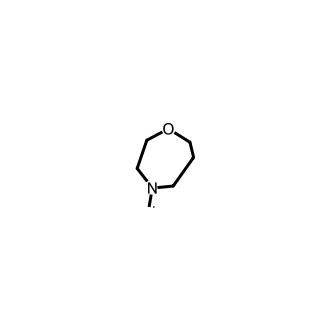 [CH2]N1CCCOCC1